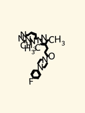 Cc1nn(-c2ccc3nnc(C)n3n2)c(C)c1CCC(=O)N1CCN(c2ccc(F)cc2)CC1